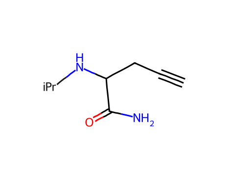 C#CCC(NC(C)C)C(N)=O